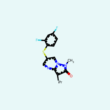 CC(C)c1c(=O)n(C)n2cc(Sc3ccc(F)cc3F)cnc12